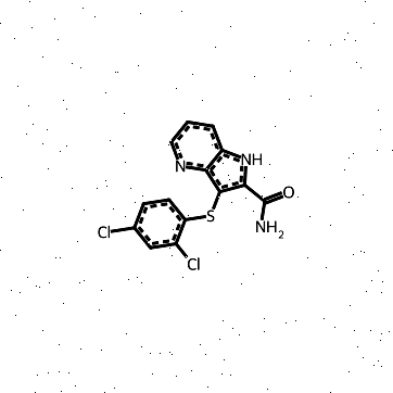 NC(=O)c1[nH]c2cccnc2c1Sc1ccc(Cl)cc1Cl